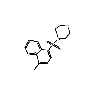 Cc1ccc(S(=O)(=O)N2CCOCC2)c2cccnc12